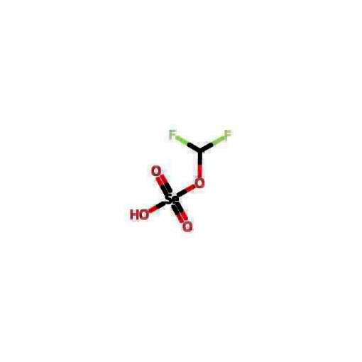 O=[Se](=O)(O)OC(F)F